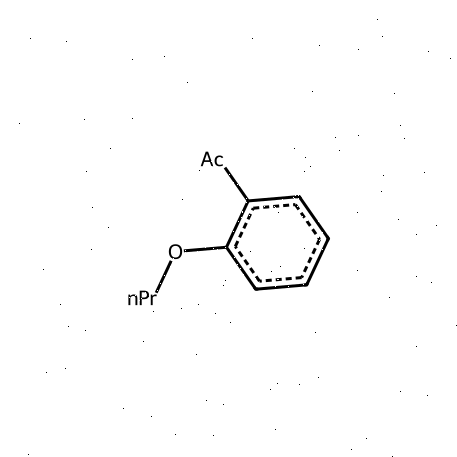 [CH2]C(=O)c1ccccc1OCCC